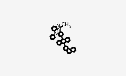 CCc1nc2cccc3c2n1-c1ccc(-c2c4ccccc4c(-c4ccc5ccc6ccccc6c5c4)c4ccccc24)cc1N3c1ccccc1